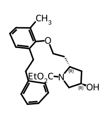 CCOC(=O)N1C[C@H](O)C[C@H]1CCOc1c(C)cccc1CCc1ccccc1